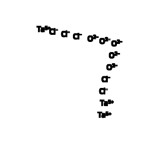 [Cl-].[Cl-].[Cl-].[Cl-].[Cl-].[O-2].[O-2].[O-2].[O-2].[O-2].[Ta+5].[Ta+5].[Ta+5]